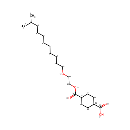 CC(C)CCCCCCCCCOCCOC(=O)C1CCC(C(=O)O)CC1